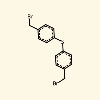 BrCc1ccc(Sc2ccc(CBr)cc2)cc1